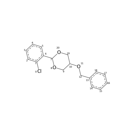 Clc1ccccc1C1OCC(OCc2ccccc2)CO1